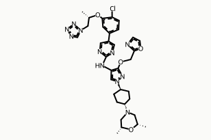 C[C@@H]1CN([C@H]2CC[C@H](n3cc(Nc4ncc(-c5ccc(Cl)c(O[C@@H](C)Cn6cnnn6)c5)cn4)c(OCc4ncco4)n3)CC2)C[C@H](C)O1